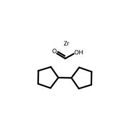 C1CCC(C2CCCC2)C1.O=CO.[Zr]